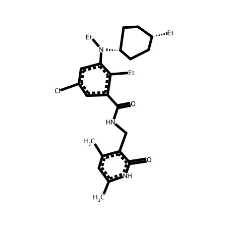 CCc1c(C(=O)NCc2c(C)cc(C)[nH]c2=O)cc(Cl)cc1N(CC)[C@H]1CC[C@@H](CC)CC1